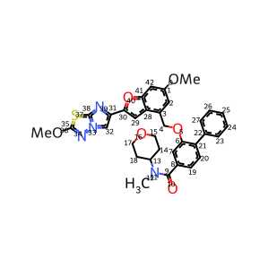 COc1cc(COc2cc(C(=O)N(C)C3CCOCC3)ccc2-c2ccccc2)c2cc(-c3cn4nc(OC)sc4n3)oc2c1